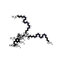 CCCCC/C=C\C/C=C\C/C=C\C/C=C\CCCC(=O)OC[C@H](COP(=O)(O)Oc1c(C)c(C)c2c(c1C)CCC(C)(CO)O2)OC(=O)CCC/C=C\C/C=C\C/C=C\C/C=C\CCCCC